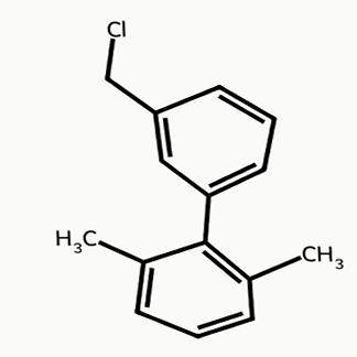 Cc1cccc(C)c1-c1cccc(CCl)c1